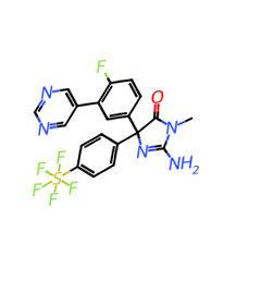 CN1C(=O)C(c2ccc(S(F)(F)(F)(F)F)cc2)(c2ccc(F)c(-c3cncnc3)c2)N=C1N